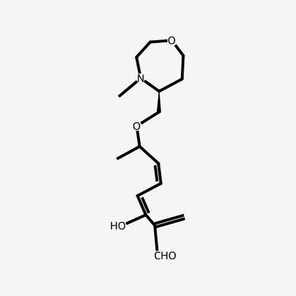 C=C(C=O)/C(O)=C\C=C/C(C)OC[C@@H]1CCOCCN1C